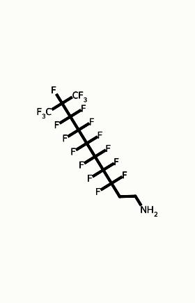 NCCC(F)(F)C(F)(F)C(F)(F)C(F)(F)C(F)(F)C(F)(F)C(F)(C(F)(F)F)C(F)(F)F